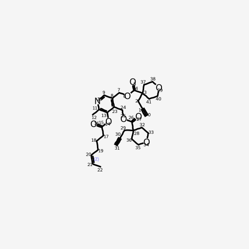 C#CCC1(C(=O)OCc2cnc(C)c(OC(=O)CCC/C=C\C)c2COC(=O)C2(CC#C)CCOCC2)CCOCC1